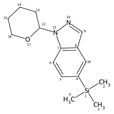 C[Si](C)(C)c1ccc2c(cnn2C2CCCCO2)c1